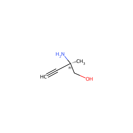 C#C[C@@](C)(N)CO